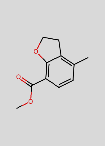 COC(=O)c1ccc(C)c2c1OCC2